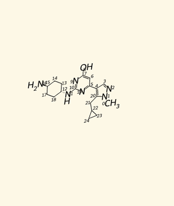 Cn1ncc(-c2cc(O)nc(N[C@H]3CC[C@H](N)CC3)n2)c1CC1CC1